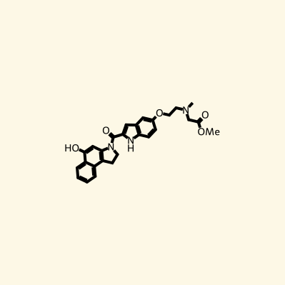 COC(=O)CN(C)CCOc1ccc2[nH]c(C(=O)N3CCc4c3cc(O)c3ccccc43)cc2c1